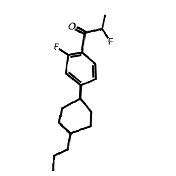 CCCC1CCC(c2ccc(C(=O)C(C)F)c(F)c2)CC1